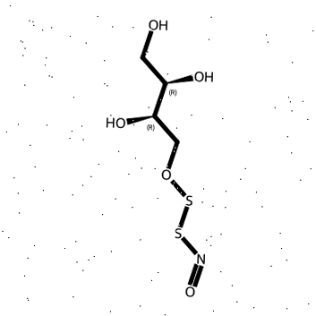 O=NSSOC[C@@H](O)[C@H](O)CO